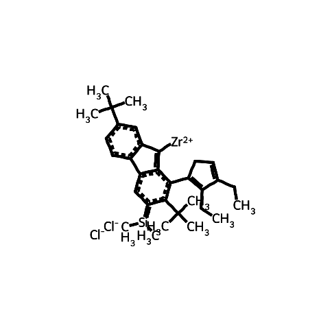 CCC1=CCC(c2c(C(C)(C)C)c(=[Si](C)C)cc3c2=[C]([Zr+2])c2cc(C(C)(C)C)ccc2-3)=C1CC.[Cl-].[Cl-]